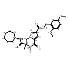 COc1ccc(OC)c(CNC(=O)c2cc3n(n2)CC(C)(C(=O)NC2CCCCCC2)N(C)C3=O)c1